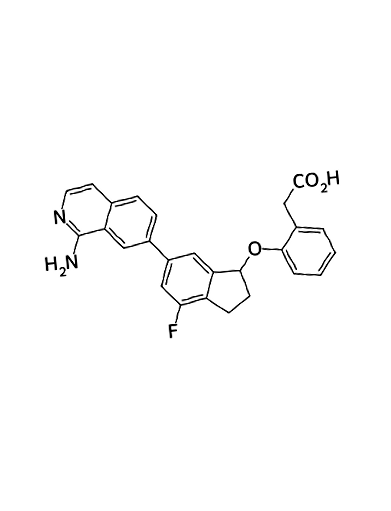 Nc1nccc2ccc(-c3cc(F)c4c(c3)C(Oc3ccccc3CC(=O)O)CC4)cc12